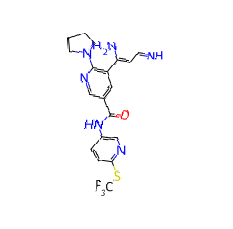 N=C/C=C(\N)c1cc(C(=O)Nc2ccc(SC(F)(F)F)nc2)cnc1N1CCCC1